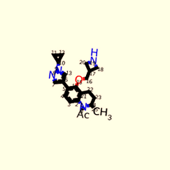 CC(=O)N1c2ccc(-c3cnn(C4CC4)c3)c(OCC3CNC3)c2CCC1C